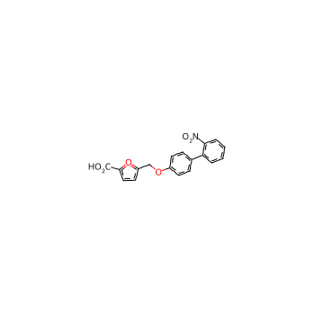 O=C(O)c1ccc(COc2ccc(-c3ccccc3[N+](=O)[O-])cc2)o1